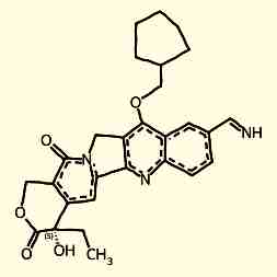 CC[C@@]1(O)C(=O)OCc2c1cc1n(c2=O)Cc2c-1nc1ccc(C=N)cc1c2OCC1CCCCC1